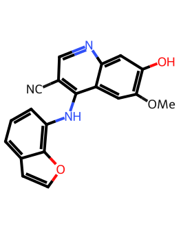 COc1cc2c(Nc3cccc4ccoc34)c(C#N)cnc2cc1O